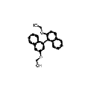 OCOc1cc(-c2c(OCO)ccc3ccccc23)c2ccccc2c1